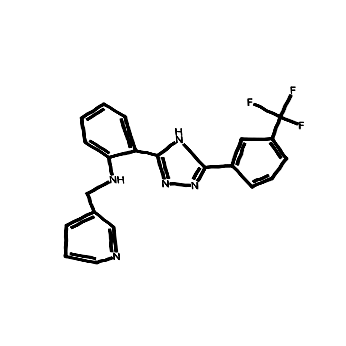 FC(F)(F)c1cccc(-c2nnc(-c3ccccc3NCc3cccnc3)[nH]2)c1